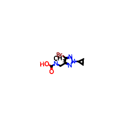 CN(Cc1nn(C2CC2)nc1Br)C(=O)O